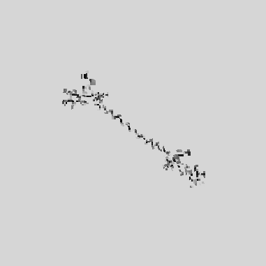 C=C1NC(=O)C(C)=CN1[C@@H]1CC(OP(=O)(O)O\C=C/C=C/C=C/C=C/C=C/C=C/C=C/C=C/C=C/C=C\OP(=O)(O)O[C@@H]2C[C@H](n3cc(C)c(=O)[nH]c3=O)O[C@@H]2CO)[C@H](CO)O1